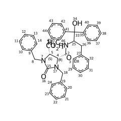 CN(C(=O)[C@H]1[C@@H](C(=O)O)N(Cc2ccccc2)C(=O)N1Cc1ccccc1)C(Cc1ccccc1)C(O)(c1ccccc1)c1ccccc1